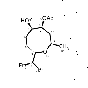 CC[C@H](Br)[C@@H]1CC[C@@H](O)[C@@H](OC(C)=O)C[C@@H](C)O1